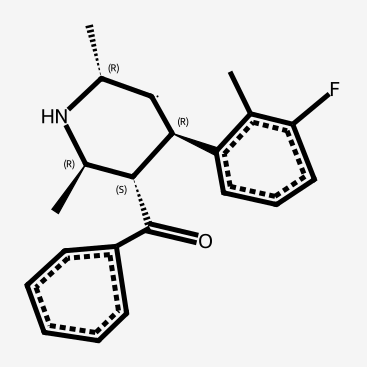 Cc1c(F)cccc1[C@@H]1[CH][C@@H](C)N[C@H](C)[C@H]1C(=O)c1ccccc1